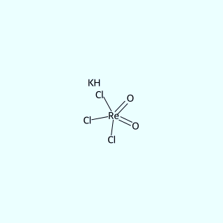 [KH].[O]=[Re](=[O])([Cl])([Cl])[Cl]